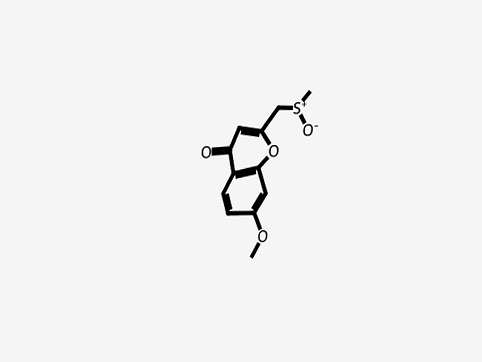 COc1ccc2c(=O)cc(C[S+](C)[O-])oc2c1